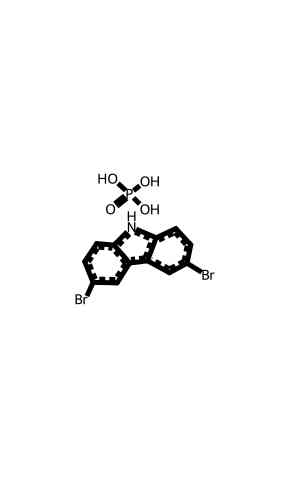 Brc1ccc2[nH]c3ccc(Br)cc3c2c1.O=P(O)(O)O